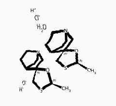 C[C@@H]1O[C@@]2(CS1)CN1CCC2CC1.C[C@@H]1O[C@@]2(CS1)CN1CCC2CC1.O.[Cl-].[Cl-].[H+].[H+]